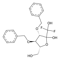 OC[C@H]1OC(O)(C(O)(F)F)[C@@H](OCc2ccccc2)[C@@H]1OCc1ccccc1